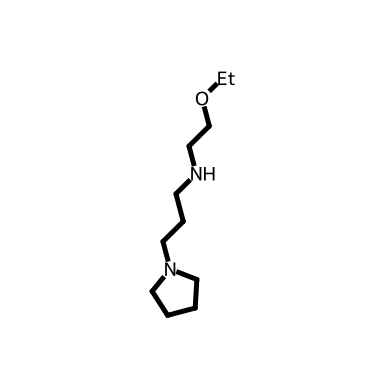 CCOCCNCCCN1CCCC1